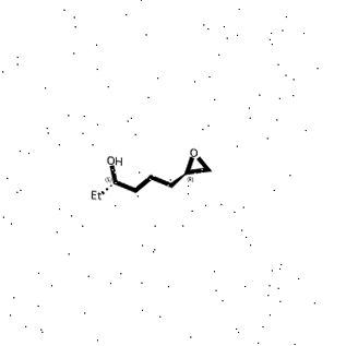 [CH2]C[C@H](O)CCC[C@@H]1CO1